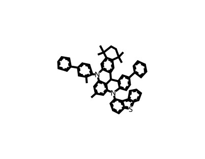 Cc1cc2c3c(c1)N(c1cccc4sc5ccccc5c14)c1ccc(-c4ccccc4)cc1C3c1cc3c(cc1N2c1ccc(-c2ccccc2)cc1C)C(C)(C)CCC3(C)C